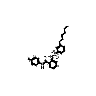 CCCCCCc1cccc(S(=O)(=O)Nc2ccccc2C(=O)Nc2ccc(C)cc2)c1